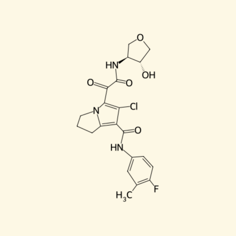 Cc1cc(NC(=O)c2c(Cl)c(C(=O)C(=O)N[C@H]3COC[C@@H]3O)n3c2CCC3)ccc1F